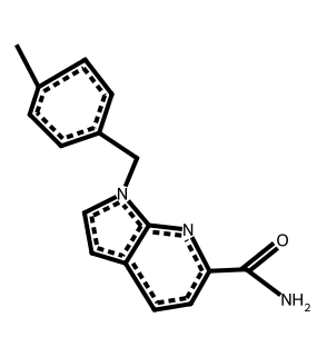 Cc1ccc(Cn2ccc3ccc(C(N)=O)nc32)cc1